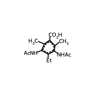 CCc1c(NC(C)=O)c(C)c(C(=O)O)c(C)c1NC(C)=O